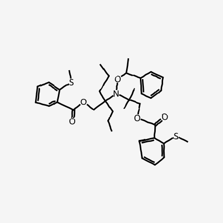 CCCC(CCC)(COC(=O)c1ccccc1SC)N(OC(C)c1ccccc1)C(C)(C)COC(=O)c1ccccc1SC